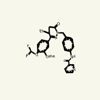 CCC1CC(=O)N(Cc2ccc(NC(=O)c3cccnc3)cc2)N=C1c1ccc(OC(F)F)c(OC)c1